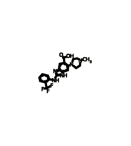 CN1CCN(c2cc3[nH]c(Nc4ccccc4C(F)(F)F)nc3cc2C(=O)O)CC1